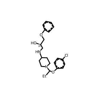 CCC(Oc1ccc(Cl)cc1)N1CCC(NC[C@@H](O)COc2ccccc2)CC1